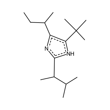 CCC(C)c1nc(C(C)C(C)C)[nH]c1C(C)(C)C